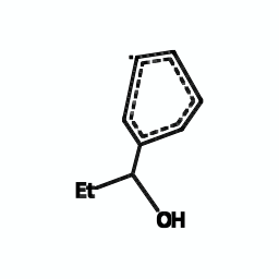 CCC(O)c1c[c]ccc1